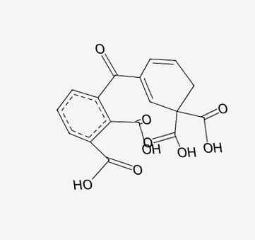 O=C(O)c1cccc(C(=O)C2=CC(C(=O)O)(C(=O)O)CC=C2)c1C(=O)O